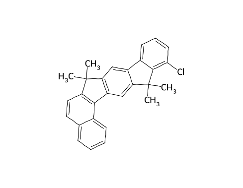 CC1(C)c2cc3c(cc2-c2c1ccc1ccccc21)C(C)(C)c1c(Cl)cccc1-3